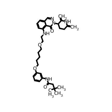 C=C1CCC(n2ncc3cccc(NCCOCCCCCOc4cccc(NC(=O)CC(C)(C)C)c4)c3c2=O)C(=C)N1